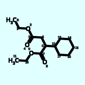 CCOC(=O)CC(C(=O)OCC)C1CCCCC1